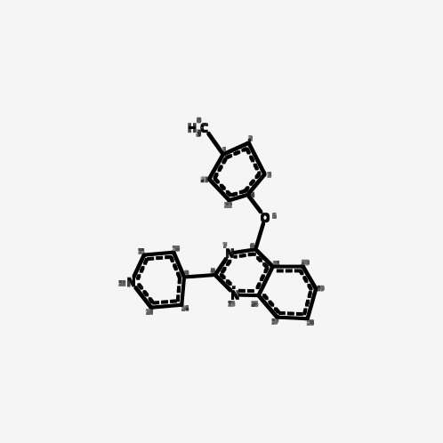 Cc1ccc(Oc2nc(-c3ccncc3)nc3ccccc23)cc1